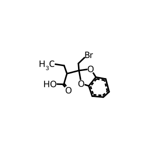 CCC(C(=O)O)C1(CBr)Oc2ccccc2O1